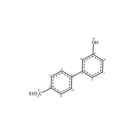 CCOC(=O)c1ccc(-c2cccc(O)c2)cc1